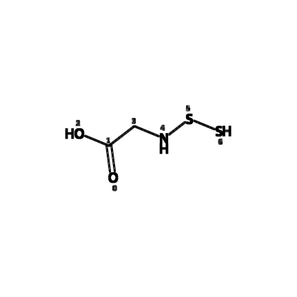 O=C(O)CNSS